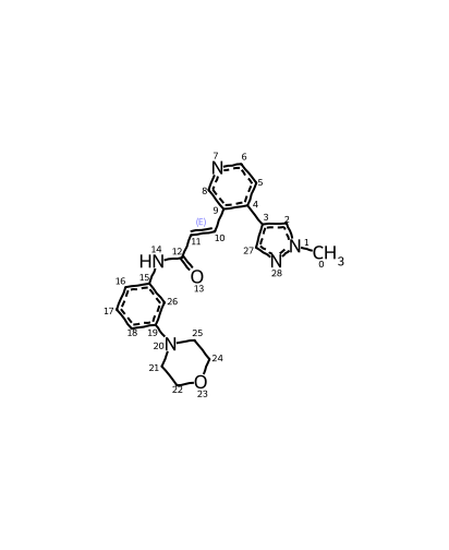 Cn1cc(-c2ccncc2/C=C/C(=O)Nc2cccc(N3CCOCC3)c2)cn1